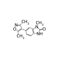 Cc1noc(C)c1-c1ccc2[nH]c(=O)n(C)c2c1